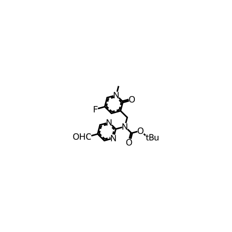 Cn1cc(F)cc(CN(C(=O)OC(C)(C)C)c2ncc(C=O)cn2)c1=O